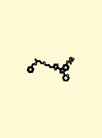 CC(CCOCCCc1csc(-c2nn(C3CCCCO3)c3ccc(O[Si](C)(C)C(C)(C)C)cc23)n1)OCc1ccccc1